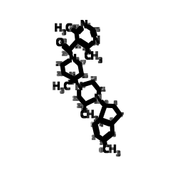 Cc1ccc2c(c1)CCC2N1CCN(C2(C)CCN(C(=O)c3c(C)ncnc3C)CC2)C[C@@H]1C